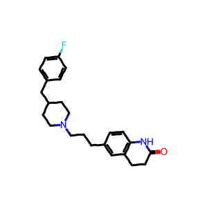 O=C1CCc2cc(CCCN3CCC(Cc4ccc(F)cc4)CC3)ccc2N1